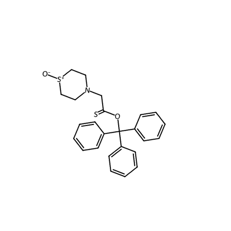 [O-][S+]1CCN(CC(=S)OC(c2ccccc2)(c2ccccc2)c2ccccc2)CC1